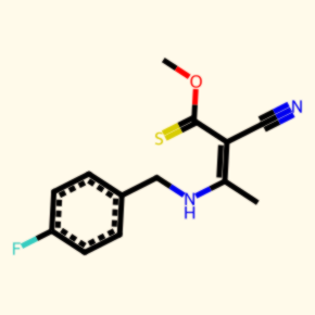 COC(=S)C(C#N)=C(C)NCc1ccc(F)cc1